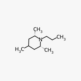 CCCN1[C@H](C)CC(C)C[C@@H]1C